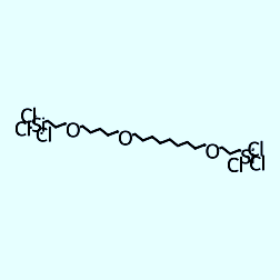 Cl[Si](Cl)(Cl)CCCOCCCCCCCCCOCCCCCOCCC[Si](Cl)(Cl)Cl